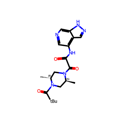 C[C@@H]1CN(C(=O)C(=O)Nc2cncc3[nH]ncc23)[C@@H](C)CN1C(=O)C(C)(C)C